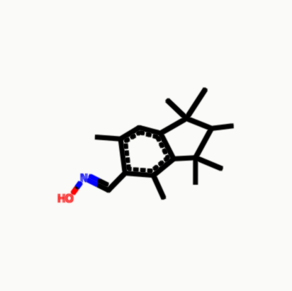 Cc1cc2c(c(C)c1C=NO)C(C)(C)C(C)C2(C)C